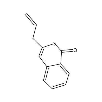 C=CCc1cc2ccccc2c(=O)s1